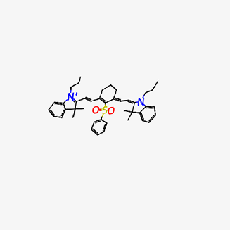 CCCN1/C(=C/C=C2\CCCC(/C=C/C3=[N+](CCC)c4ccccc4C3(C)C)=C2S(=O)(=O)c2ccccc2)C(C)(C)c2ccccc21